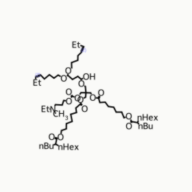 CC/C=C\CCCCOC(CCC(O)OCC(COC(=O)CCCCCCCOC(=O)C(CCCC)CCCCCC)(COC(=O)CCCCCCCOC(=O)C(CCCC)CCCCCC)COC(=O)OCCCN(C)CC)OCCCC/C=C\CC